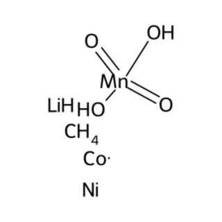 C.[Co].[LiH].[Ni].[O]=[Mn](=[O])([OH])[OH]